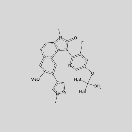 BC(B)(B)Oc1cnc(-n2c(=O)n(C)c3cnc4cc(OC)c(-c5cnn(C)c5)cc4c32)c(F)c1